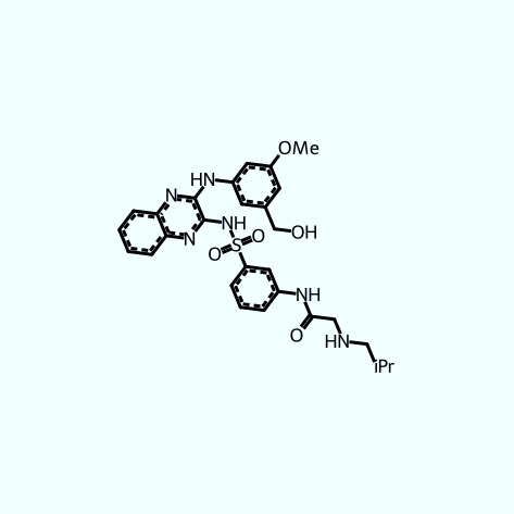 COc1cc(CO)cc(Nc2nc3ccccc3nc2NS(=O)(=O)c2cccc(NC(=O)CNCC(C)C)c2)c1